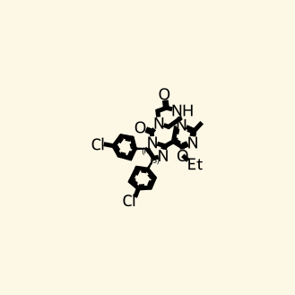 CCOc1nc(C)ncc1C1=N[C@@H](c2ccc(Cl)cc2)[C@@H](c2ccc(Cl)cc2)N1C(=O)N1CCNC(=O)C1